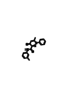 Cc1cccc(NC(=O)c2nn(-c3ccccc3)c(C)cc2=O)c1